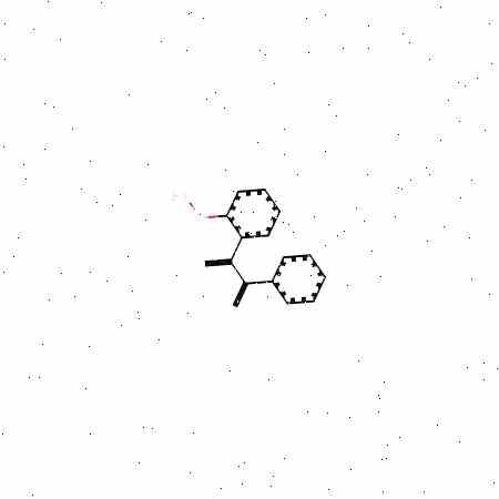 C=C(C(=C)c1ccccc1OCC)c1ccccc1